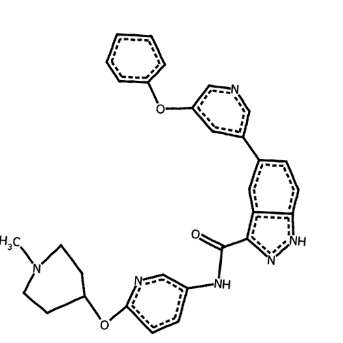 CN1CCC(Oc2ccc(NC(=O)c3n[nH]c4ccc(-c5cncc(Oc6ccccc6)c5)cc34)cn2)CC1